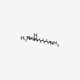 NCCCCCCCCNCCCN